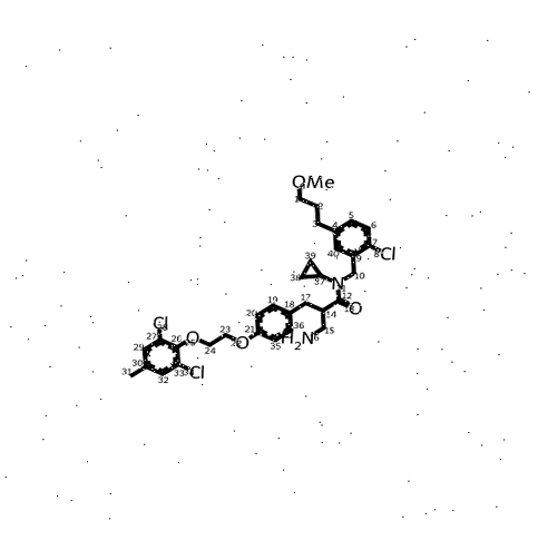 COCCCc1ccc(Cl)c(CN(C(=O)C(CN)Cc2ccc(OCCOc3c(Cl)cc(C)cc3Cl)cc2)C2CC2)c1